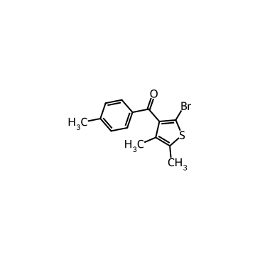 Cc1ccc(C(=O)c2c(Br)sc(C)c2C)cc1